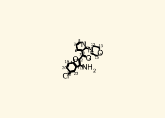 Nc1c(C(=O)c2cccnc2N2CCOCC2)oc2ccc(Cl)cc12